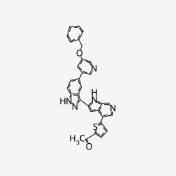 CC(=O)c1ccc(-c2cncc3[nH]c(-c4n[nH]c5ccc(-c6cncc(OCc7ccccc7)c6)cc45)cc23)s1